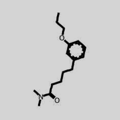 CCCOc1cccc(CCCCC(=O)N(C)C)c1